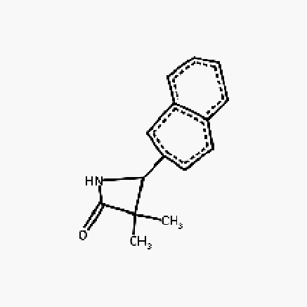 CC1(C)C(=O)NC1c1ccc2ccccc2c1